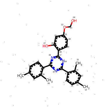 Cc1ccc(-c2nc(-c3ccc(C)cc3C)nc(-c3ccc(OCO)cc3O)n2)c(C)c1